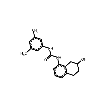 Cc1cc(C)cc(NC(=O)Nc2cccc3c2CC(O)CC3)c1